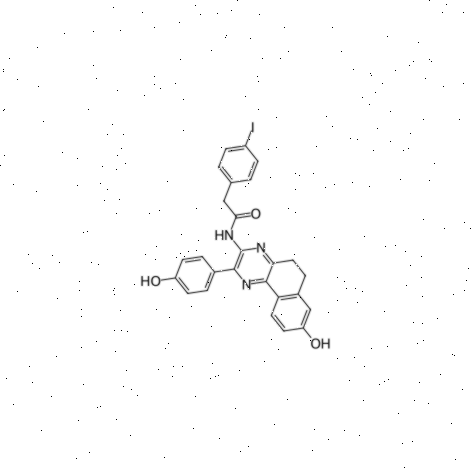 O=C(Cc1ccc(I)cc1)Nc1nc2c(nc1-c1ccc(O)cc1)-c1ccc(O)cc1CC2